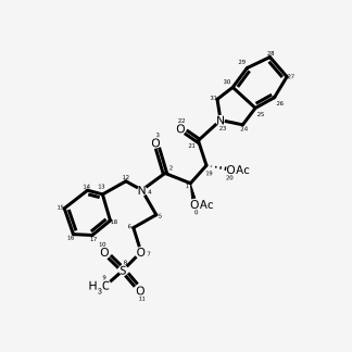 CC(=O)O[C@@H](C(=O)N(CCOS(C)(=O)=O)Cc1ccccc1)[C@@H](OC(C)=O)C(=O)N1Cc2ccccc2C1